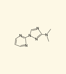 CN(C)c1ncn(-c2ncccn2)n1